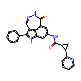 O=C1NN=Cc2c(-c3ccccc3)[nH]c3cc(NC(=O)C4CC4c4ccccn4)cc1c23